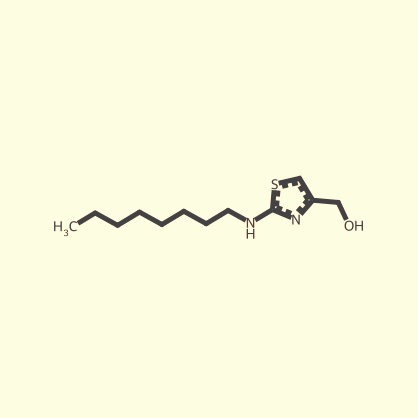 CCCCCCCCNc1nc(CO)cs1